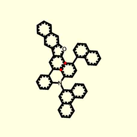 c1ccc(N(c2ccc(-c3cccc4ccccc34)cc2)c2cc3ccccc3c3ccccc23)c(-c2ccc3oc4cc5ccccc5cc4c3c2)c1